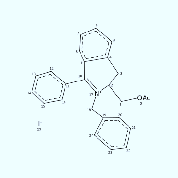 CC(=O)OCC1Cc2ccccc2C(c2ccccc2)=[N+]1Cc1ccccc1.[I-]